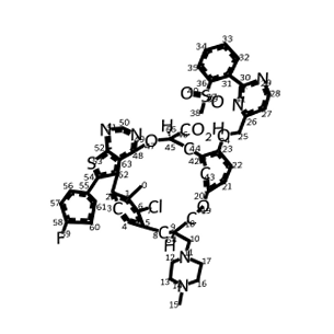 Cc1c2ccc(c1Cl)C[C@@H](CN1CCN(C)CC1)COc1ccc(OCc3ccnc(-c4ccccc4S(C)(=O)=O)n3)c(c1)C[C@H](C(=O)O)Oc1ncnc3sc(-c4ccc(F)cc4)c-2c13